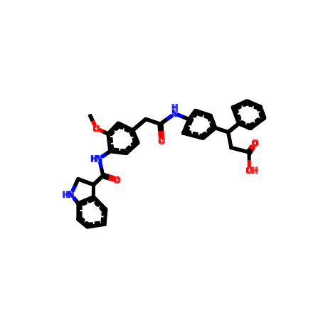 COc1cc(CC(=O)Nc2ccc(C(CC(=O)O)c3ccccc3)cc2)ccc1NC(=O)C1CNc2ccccc21